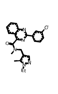 CCn1ncc(CN(C)C(=O)c2nc(-c3cccc(Cl)c3)nc3ccccc23)c1C